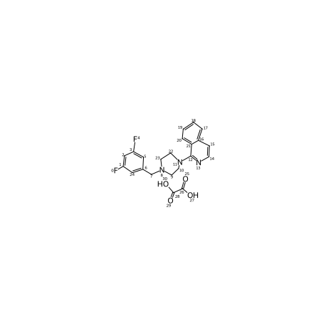 Fc1cc(F)cc(CN2CCN(c3nccc4ccccc34)CC2)c1.O=C(O)C(=O)O